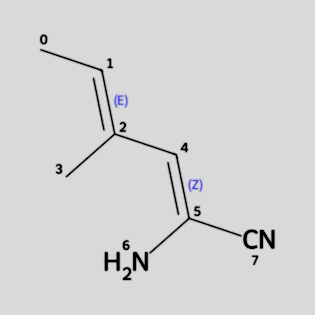 C/C=C(C)/C=C(\N)C#N